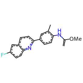 C=C(Nc1ccc(-c2ccc3cc(F)ccc3n2)cc1C)OC